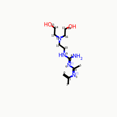 C=C(C)/N=C(C)\N=C(/N)NCCN(CCO)CCO